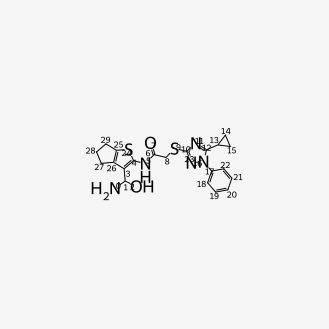 NC(O)c1c(NC(=O)CSc2nc(C3CC3)n(-c3ccccc3)n2)sc2c1CCC2